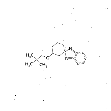 CC(C)(C)COC1CCCC2(C1)N=c1ccccc1=N2